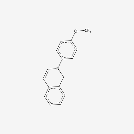 FC(F)(F)Oc1ccc(N2C=Cc3ccccc3C2)cc1